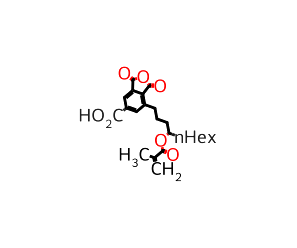 C=C(C)C(=O)OC(CCCCCC)CCCc1cc(C(=O)O)cc2c1C(=O)OC2=O